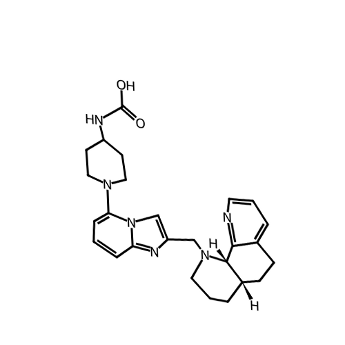 O=C(O)NC1CCN(c2cccc3nc(CN4CCC[C@H]5CCc6cccnc6[C@H]54)cn23)CC1